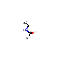 CC[C@H](C)CNC(=O)[C@H](C)CC